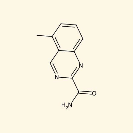 Cc1cccc2nc(C(N)=O)ncc12